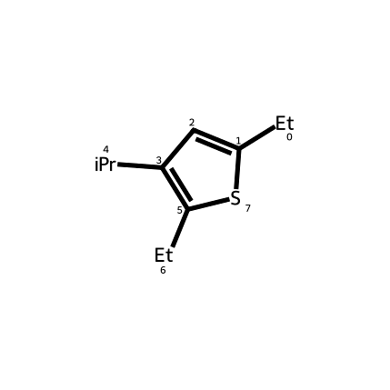 CCc1cc(C(C)C)c(CC)s1